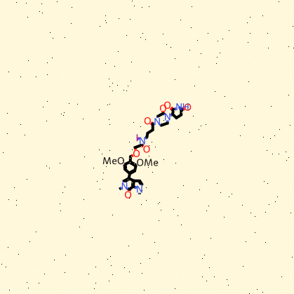 COc1cc(-c2cn(C)c(=O)c3c2ccn3C)cc(OC)c1COCC(=O)N(I)CCCC(=O)N1CCN(C2CCC(=O)NC2=O)C(=O)C1